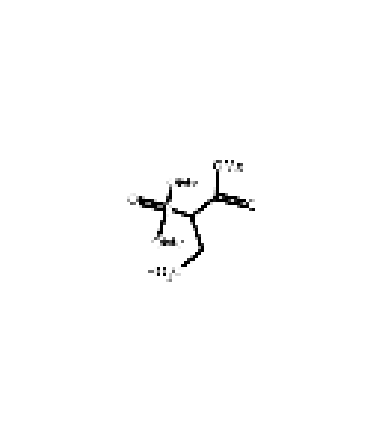 COC(=O)C(CC(=O)O)P(=O)(OC)OC